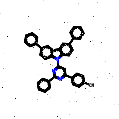 N#Cc1ccc(-c2cc(-n3c4ccc(-c5ccccc5)cc4c4cc(-c5ccccc5)ccc43)nc(-c3ccccc3)n2)cc1